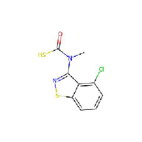 CN(C(=O)S)c1nsc2cccc(Cl)c12